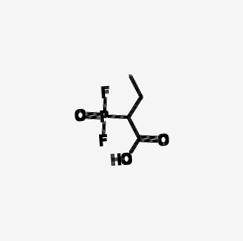 CCC(C(=O)O)P(=O)(F)F